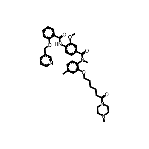 COc1cc(C(=O)N(C)c2ccc(C)cc2OCCCCCC(=O)N2CCN(C)CC2)ccc1NC(=O)c1ccccc1OCc1cccnc1